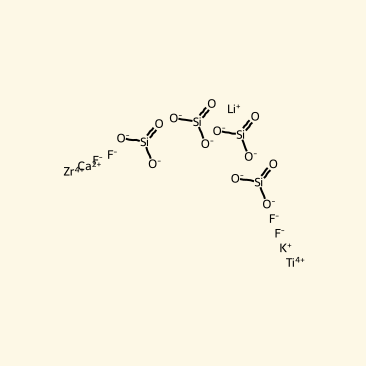 O=[Si]([O-])[O-].O=[Si]([O-])[O-].O=[Si]([O-])[O-].O=[Si]([O-])[O-].[Ca+2].[F-].[F-].[F-].[F-].[K+].[Li+].[Ti+4].[Zr+4]